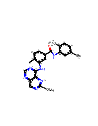 COc1ncc2ncnc(Nc3cc(C(=O)Nc4cc(C(C)(C)C)ccc4OC)ccc3C)c2n1